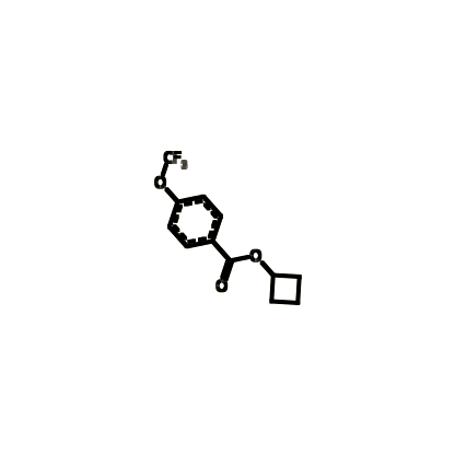 O=C(OC1CCC1)c1ccc(OC(F)(F)F)cc1